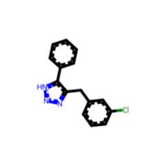 Clc1cccc(Cc2nn[nH]c2-c2ccccc2)c1